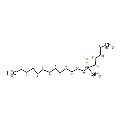 CCCCCCCCCCCCCC(F)([SiH3])CCCCC